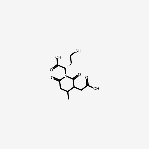 CC1CC(=O)N([C@@H](CCS)C(=O)O)C(=O)C1CC(=O)O